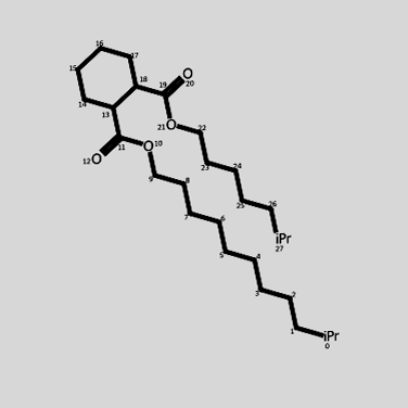 CC(C)CCCCCCCCCOC(=O)C1CCCCC1C(=O)OCCCCCC(C)C